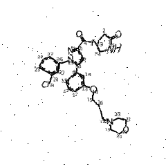 O=C1CN(C(=O)c2cc(-c3cccc(OCCCN4CCOCC4)c3)n(-c3cccc(Cl)c3)n2)CN1